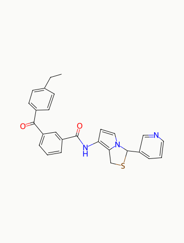 CCc1ccc(C(=O)c2cccc(C(=O)Nc3ccn4c3CSC4c3cccnc3)c2)cc1